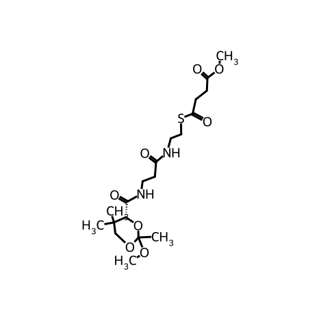 COC(=O)CCC(=O)SCCNC(=O)CCNC(=O)[C@@H]1OC(C)(OC)OCC1(C)C